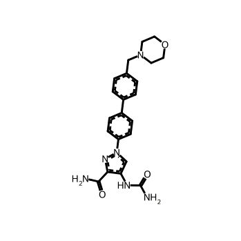 NC(=O)Nc1cn(-c2ccc(-c3ccc(CN4CCOCC4)cc3)cc2)nc1C(N)=O